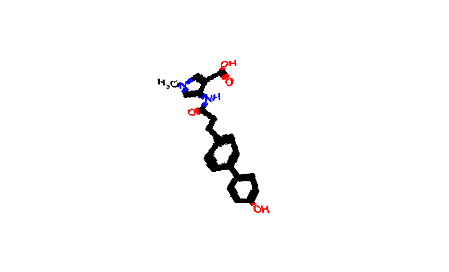 Cn1cc(NC(=O)CCc2ccc(-c3ccc(O)cc3)cc2)c(C(=O)O)c1